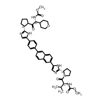 COC(=O)N[C@H](C(=O)N1CCC[C@H]1c1ncc(-c2ccc3cc(-c4ccc(-c5cnc([C@@H]6CCCC6C(=O)[C@H](NC(=O)OC)C6CCOCC6)[nH]5)cc4)ccc3c2)[nH]1)C(C)C